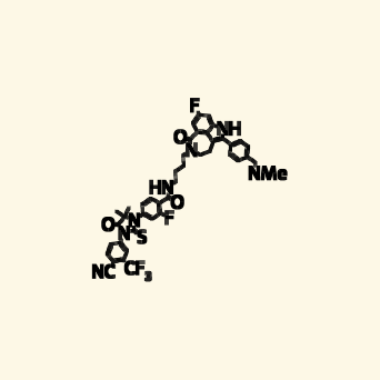 CNCc1ccc(-c2[nH]c3cc(F)cc4c3c2CCN(CCCCNC(=O)c2ccc(N3C(=S)N(c5ccc(C#N)c(C(F)(F)F)c5)C(=O)C3(C)C)cc2F)C4=O)cc1